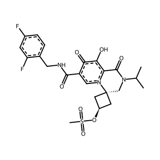 CC(C)N1C[C@]2(C[C@H](OS(C)(=O)=O)C2)n2cc(C(=O)NCc3ccc(F)cc3F)c(=O)c(O)c2C1=O